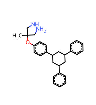 CC(CN)(CN)Oc1ccc(C2CC(c3ccccc3)CC(c3ccccc3)C2)cc1